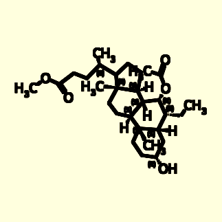 CC[C@H]1[C@@H](OC(C)=O)[C@@H]2[C@H](CC[C@]3(C)C([C@H](C)CCC(=O)OC)CC[C@@H]23)[C@@]2(C)CC[C@@H](O)C[C@@H]12